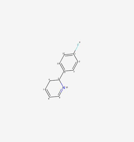 Fc1ccc(C2CC=CC=N2)cc1